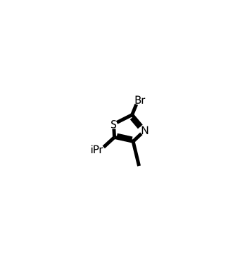 Cc1nc(Br)sc1C(C)C